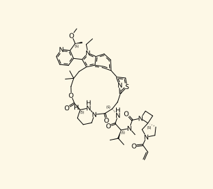 C=CC(=O)N1CC[C@]2(CCN2C(=O)N(C)[C@H](C(=O)N[C@H]2Cc3nc(cs3)-c3ccc4c(c3)c(c(-c3cccnc3[C@H](C)OC)n4CC)CC(C)(C)COC(=O)[C@@H]3CCCN(N3)C2=O)C(C)C)C1